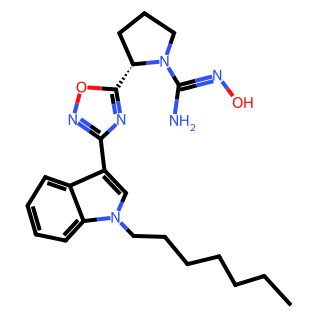 CCCCCCCn1cc(-c2noc([C@@H]3CCCN3/C(N)=N/O)n2)c2ccccc21